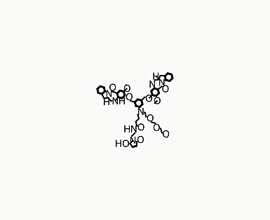 COCCOCCOCCN(CCCC(=O)NCCN1C(=O)C=CC1O)c1cc(COc2cc3c(cc2OC)C(=O)N2c4ccccc4C[C@H]2C=N3)cc(COc2cc3c(cc2OC)C(=O)N2c4ccccc4C[C@H]2CN3)c1